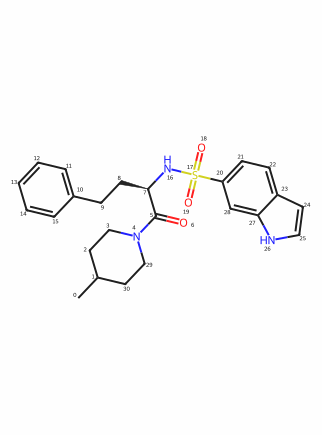 CC1CCN(C(=O)[C@@H](CCc2ccccc2)NS(=O)(=O)c2ccc3cc[nH]c3c2)CC1